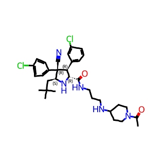 CC(=O)N1CCC(NCCCNC(=O)[C@@H]2N[C@@H](CC(C)(C)C)[C@](C#N)(c3ccc(Cl)cc3)[C@H]2c2cccc(Cl)c2)CC1